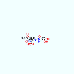 C[C@@H](O)C1C(=O)N2C(C(=O)O)=C(CN(C)CCNC(=O)c3ccc(O)c(O)c3F)[C@H](C)[C@H]12